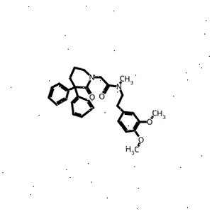 COc1ccc(CCN(C)C(=O)CN2CCCC(c3ccccc3)(c3ccccc3)C2=O)cc1OC